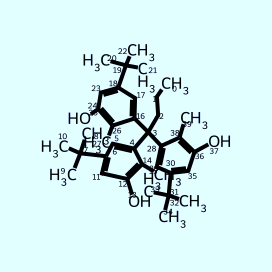 CCCC(c1cc(C(C)(C)C)cc(O)c1C)(c1cc(C(C)(C)C)cc(O)c1C)c1cc(C(C)(C)C)cc(O)c1C